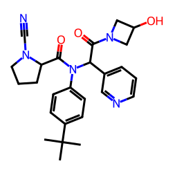 CC(C)(C)c1ccc(N(C(=O)C2CCCN2C#N)C(C(=O)N2CC(O)C2)c2cccnc2)cc1